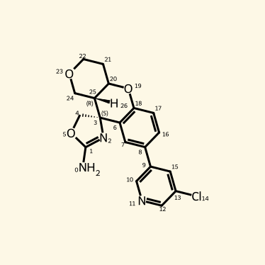 NC1=N[C@]2(CO1)c1cc(-c3cncc(Cl)c3)ccc1OC1CCOC[C@H]12